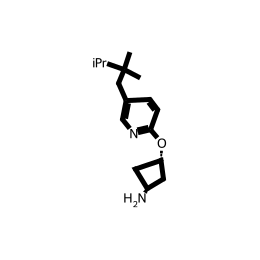 CC(C)C(C)(C)Cc1ccc(O[C@H]2C[C@H](N)C2)nc1